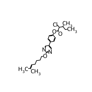 CCC(C)C(Cl)C(=O)Oc1ccc(-c2cnc(OCCCCC=C(C)C)nc2)cc1